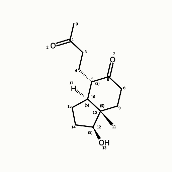 CC(=O)CC[C@@H]1C(=O)CC[C@]2(C)[C@@H](O)CC[C@@H]12